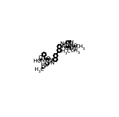 COC[C@H]1C[C@@H](c2nc3ccc4cc(-c5ccc6c(ccc7nc([C@@H]8CC9C[C@H]9N8C(=O)[C@@H](NC(=O)OC)C(C)C)[nH]c76)c5)ccc4c3[nH]2)N(C(=O)[C@H](NC(=O)O)c2ccccc2)C1